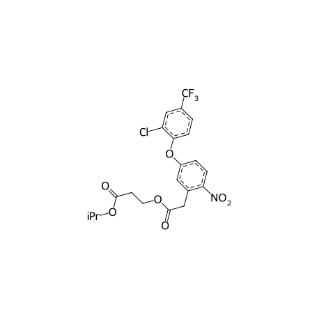 CC(C)OC(=O)CCOC(=O)Cc1cc(Oc2ccc(C(F)(F)F)cc2Cl)ccc1[N+](=O)[O-]